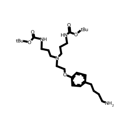 CC(C)(C)OC(=O)NCCCN(CCCNC(=O)OC(C)(C)C)CCOc1ccc(CCCCN)cc1